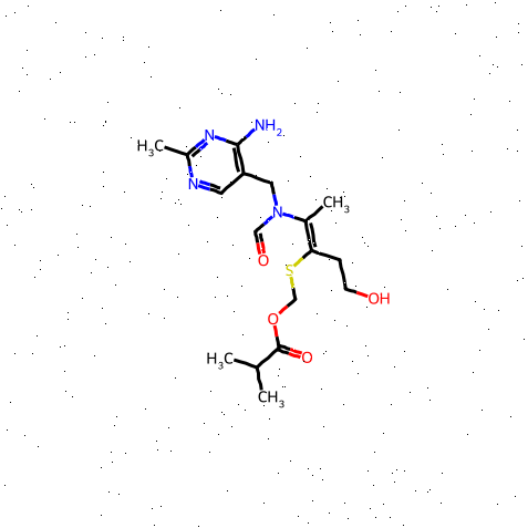 C/C(=C(\CCO)SCOC(=O)C(C)C)N(C=O)Cc1cnc(C)nc1N